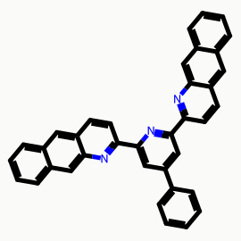 c1ccc(-c2cc(-c3ccc4cc5ccccc5cc4n3)nc(-c3ccc4cc5ccccc5cc4n3)c2)cc1